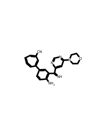 N#CC1=CC=C=CC(c2ccc(N)c(C(=N)c3cc(N4CCOCC4)ncn3)c2)=C1